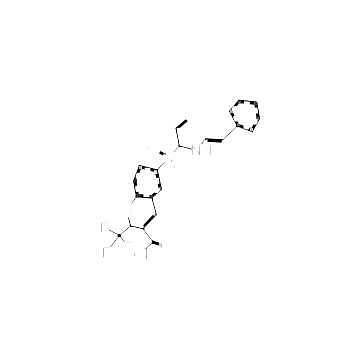 C=CC(NC=Cc1ccccc1)S(=O)(=O)c1ccc2c(c1)C=C(C(=O)O)C(C(F)(F)F)O2